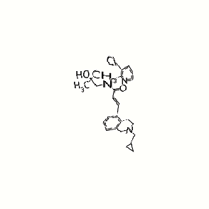 CC(C)(O)CN(Cc1ncccc1Cl)C(=O)C=Cc1cccc2c1CCN(CC1CC1)C2